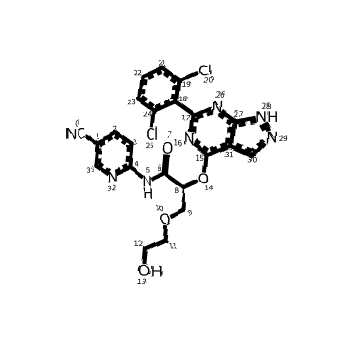 N#Cc1ccc(NC(=O)[C@H](COCCO)Oc2nc(-c3c(Cl)cccc3Cl)nc3[nH]ncc23)nc1